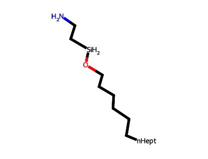 CCCCCCCCCCCCCO[SiH2]CCN